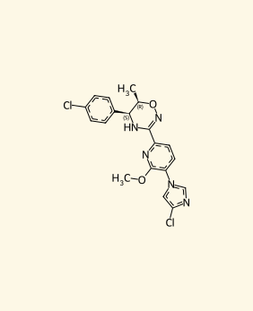 COc1nc(C2=NO[C@H](C)[C@H](c3ccc(Cl)cc3)N2)ccc1-n1cnc(Cl)c1